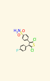 NS(=O)(=O)c1ccc(-c2c(Cl)sc(Cl)c2-c2ccc(F)cc2)cc1